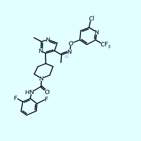 C/C(=N/Oc1cc(Cl)nc(C(F)(F)F)c1)c1cnc(C)nc1C1CCN(C(=O)Nc2c(F)cccc2F)CC1